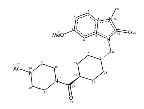 COc1ccc2c(c1)n(C[C@H]1CC[C@H](C(=O)N3CCN(C(C)=O)CC3)CC1)c(=O)n2C